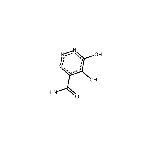 [NH]C(=O)c1nnnc(O)c1O